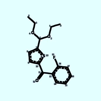 CCOC(OCC)c1ccc(C(=O)c2ccccc2F)s1